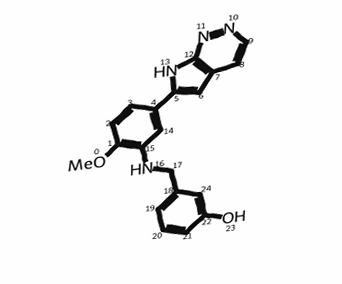 COc1ccc(-c2cc3ccnnc3[nH]2)cc1NCc1cccc(O)c1